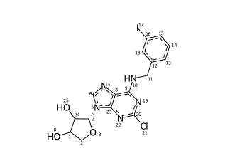 OC1CO[C@@H](n2cnc3c(NCc4cccc(I)c4)nc(Cl)nc32)C1O